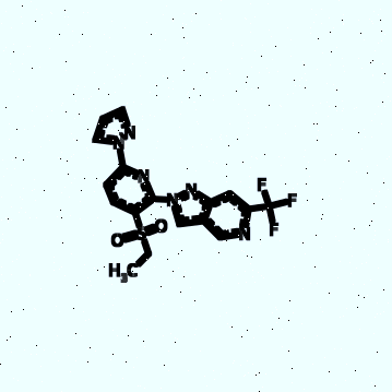 CCS(=O)(=O)c1ccc(-n2cccn2)nc1-n1cc2cnc(C(F)(F)F)cc2n1